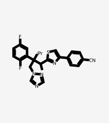 CC(C)C(Cn1cncn1)(c1cc(F)ccc1F)C(C)c1nc(-c2ccc(C#N)cc2)cs1